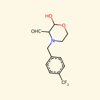 O=CC1C(O)OCCN1Cc1ccc(C(F)(F)F)cc1